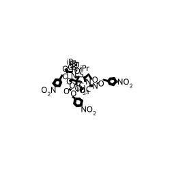 CC(=NC(=O)OCc1ccc([N+](=O)[O-])cc1)N1CCC(SC2N(C(C(=O)OCc3ccc([N+](=O)[O-])cc3)=P(OC(C)C)(OC(C)C)OC(C)C)C(=O)C2(C=C=O)C(C)OC(=O)OCc2ccc([N+](=O)[O-])cc2)C1